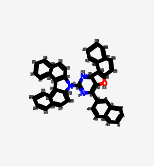 c1ccc2cc(-c3nc(-n4c5ccc6ccccc6c5c5c6ccccc6ccc54)nc4c3oc3ccc5ccccc5c34)ccc2c1